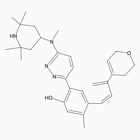 C=C(/C=C\c1cc(-c2ccc(N(C)C3CC(C)(C)NC(C)(C)C3)nn2)c(O)cc1C)C1=CCOCC1